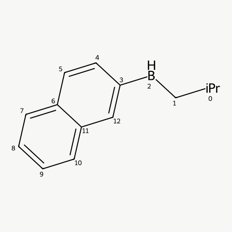 CC(C)CBc1ccc2ccccc2c1